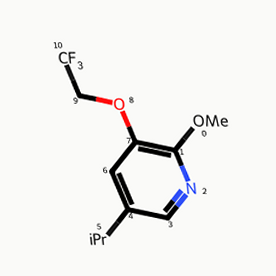 COc1ncc(C(C)C)cc1OCC(F)(F)F